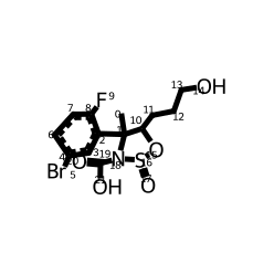 CC1(c2cc(Br)ccc2F)C(CCCO)OS(=O)N1C(=O)O